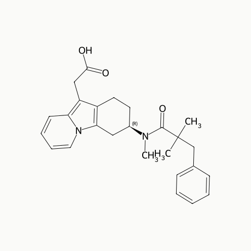 CN(C(=O)C(C)(C)Cc1ccccc1)[C@@H]1CCc2c(CC(=O)O)c3ccccn3c2C1